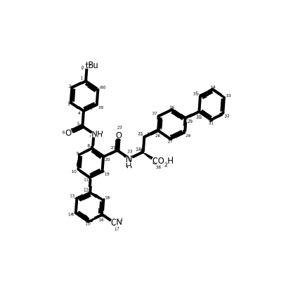 CC(C)(C)c1ccc(C(=O)Nc2ccc(-c3cccc(C#N)c3)cc2C(=O)N[C@@H](Cc2ccc(-c3ccccc3)cc2)C(=O)O)cc1